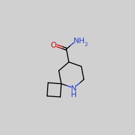 NC(=O)C1CCNC2(CCC2)C1